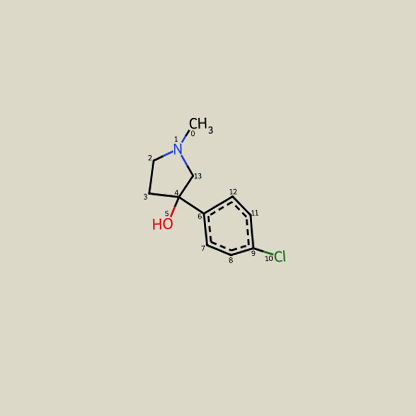 CN1CCC(O)(c2ccc(Cl)cc2)C1